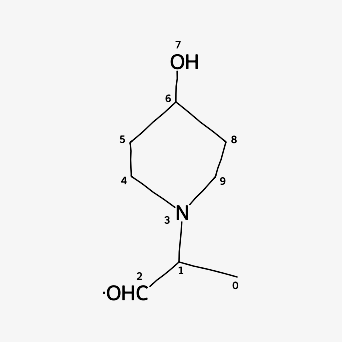 CC([C]=O)N1CCC(O)CC1